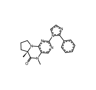 CN1C(=O)[C@]2(C)CCCN2c2nc(-n3ccnc3-c3ccccc3)ncc21